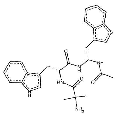 CC(=O)N[C@@H](Cc1csc2ccccc12)NC(=O)[C@@H](Cc1c[nH]c2ccccc12)NC(=O)C(C)(C)N